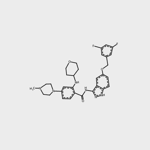 CN1CCN(c2ccc(C(=O)Nc3n[nH]c4ccc(OCc5cc(F)cc(F)c5)cc34)c(NC3CCOCC3)c2)CC1